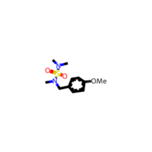 COc1ccc(CN(C)S(=O)(=O)N(C)C)cc1